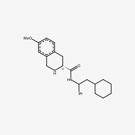 COc1ccc2c(c1)CN[C@@H](C(=O)NC(CC1CCCCC1)C(C)C)C2